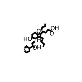 CCCCO[C@@]12CC[C@H](O)[C@@H](/C=C/C(O)C3CCCCC3)[C@@H]1C(CCCC)C2=CCCC(=O)O